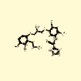 CC(=O)c1ccc(OCC(O)COc2cc(NC(=O)c3nnn[nH]3)c(C)cc2F)c(CCC(F)(F)F)c1O